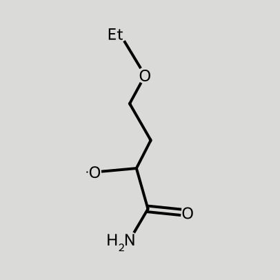 [CH2]COCCC([O])C(N)=O